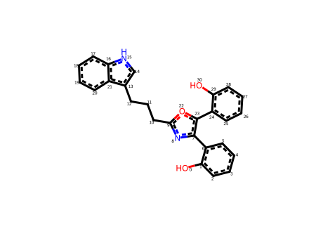 Oc1ccccc1-c1nc(CCCc2c[nH]c3ccccc23)oc1-c1ccccc1O